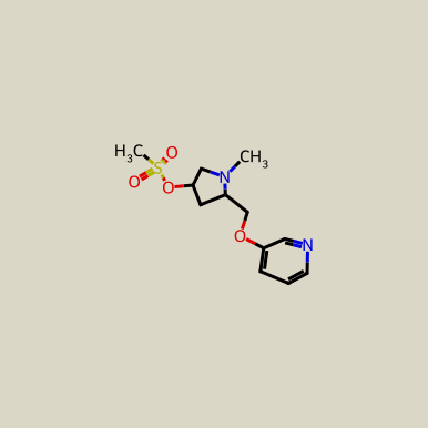 CN1CC(OS(C)(=O)=O)CC1COc1cccnc1